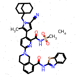 C.Cc1c(-c2ccc(N3CCc4cccc(C(=O)Nc5nc6ccccc6s5)c4C3)nc2C(=O)NS(C)(=O)=O)cc(C#N)n1CC12CCCC(CCC1)C2